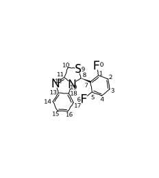 Fc1cccc(F)c1[C@@H]1SCc2nc3ccccc3n21